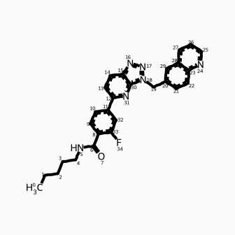 CCCCCNC(=O)c1ccc(-c2ccc3nnn(Cc4ccc5ncccc5c4)c3n2)cc1F